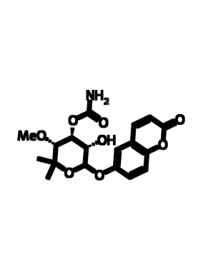 CO[C@@H]1[C@H](OC(N)=O)[C@H](O)C(Oc2ccc3oc(=O)ccc3c2)OC1(C)C